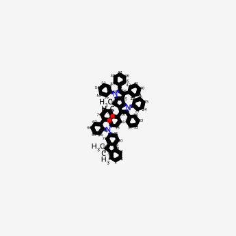 CC1(C)c2ccccc2-c2ccc(N(c3ccc(-c4c5c(n(-c6ccccc6)c4-c4ccccc4)-c4c(-c6ccccc6)c(-c6ccccc6)n(-c6ccccc6)c4C5(C)C)cc3)c3ccccc3-c3ccccc3)cc21